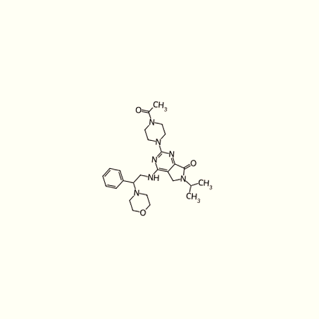 CC(=O)N1CCN(c2nc(NCC(c3ccccc3)N3CCOCC3)c3c(n2)C(=O)N(C(C)C)C3)CC1